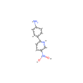 Nc1ccc(-c2ccc([N+](=O)[O-])cn2)cc1